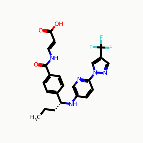 CCC[C@@H](Nc1ccc(-n2cc(C(F)(F)F)cn2)nc1)c1ccc(C(=O)NC=CC(=O)O)cc1